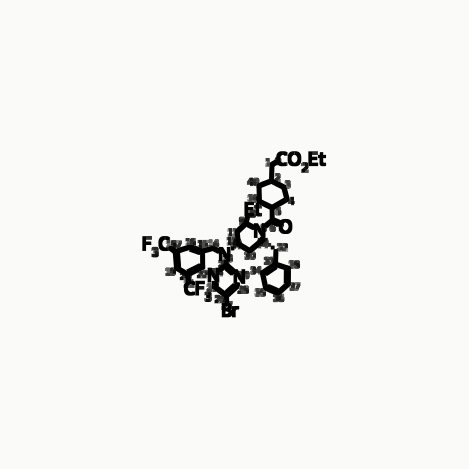 CCOC(=O)CC1CCC(C(=O)N2C(CC)C[C@@H](N(Cc3cc(C(F)(F)F)cc(C(F)(F)F)c3)c3ncc(Br)cn3)C[C@H]2Cc2ccccc2)CC1